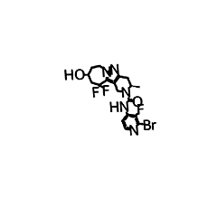 C[C@@H]1Cc2nn3c(c2CN1C(=O)Nc1ccnc(Br)c1F)C(F)(F)C[C@@H](O)CC3